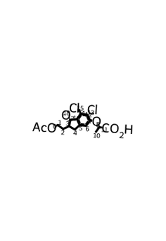 CC(=O)OCCC1Cc2cc(OC(C)C(=O)O)c(Cl)c(Cl)c2C1=O